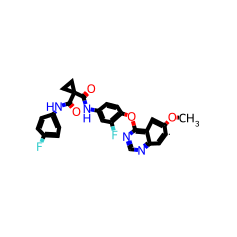 COc1[c]cc2ncnc(Oc3ccc(NC(=O)C4(C(=O)Nc5ccc(F)cc5)CC4)cc3F)c2c1